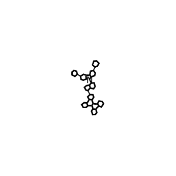 c1ccc(-c2ccc3c(c2)c2cc(-c4ccccc4)ccc2n3-c2cccc3c(-c4ccc5c(c4)c4ccccc4c4c6ccccc6c6ccccc6c54)cccc23)cc1